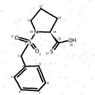 O=S(=O)(Cc1ccccc1)N1CCC[C@H]1C(O)=S